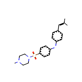 CCOC(=O)C(C)=Cc1ccc(Nc2ccc(S(=O)(=O)N3CCN(C)CC3)cc2)cc1